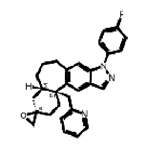 Fc1ccc(-n2ncc3cc4c(cc32)CCC[C@H]2C[C@]3(CC[C@@]42Cc2ccccn2)CO3)cc1